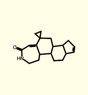 O=C1C=C2C(CCN1)C1CCC3C=CCC3C1CC21CC1